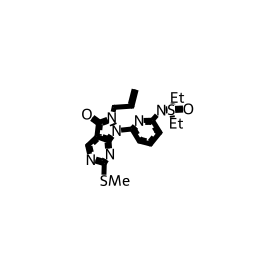 C=CCn1c(=O)c2cnc(SC)nc2n1-c1cccc(N=S(=O)(CC)CC)n1